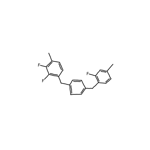 Cc1ccc(Cc2ccc(Cc3ccc(C)c(F)c3F)cc2)c(F)c1